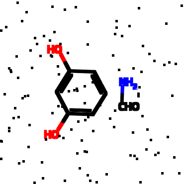 NC=O.Oc1cccc(O)c1